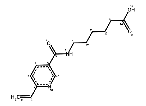 C=Cc1ccc(C(=O)NCCCCCC(=O)O)cn1